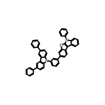 c1ccc(-c2ccc3c(c2)c2cc(-c4ccccc4)ccc2n3-c2cccc(-c3ccc4c(c3)oc3c4c4ccccc4n3-c3ccccc3)c2)cc1